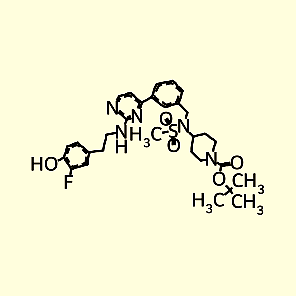 CC(C)(C)OC(=O)N1CCC(N(Cc2cccc(-c3ccnc(NCCc4ccc(O)c(F)c4)n3)c2)S(C)(=O)=O)CC1